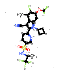 Cc1c(F)c(OC(F)F)cc2c1c(C#N)c(-c1ccc(S(=O)(=O)NC(C)C(F)(F)F)cn1)n2C1CCC1